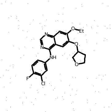 CCOc1cc2ncnc(Nc3ccc(F)c(Cl)c3)c2cc1OC1CCOC1